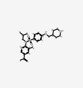 C=C(C)c1cnc(N(CC(C)C)S(=O)(=O)c2ccc(OCC3CCOCC3)cc2)c(C)c1